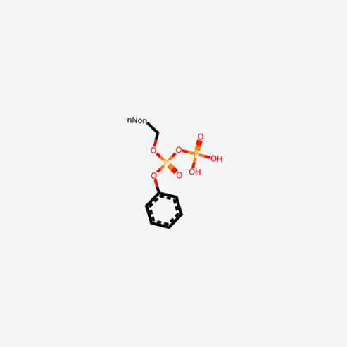 CCCCCCCCCCOP(=O)(Oc1ccccc1)OP(=O)(O)O